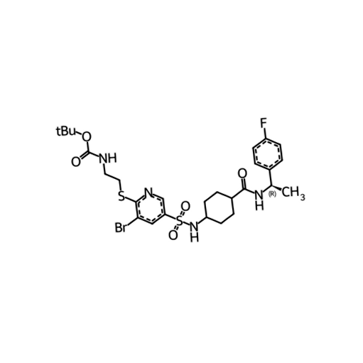 C[C@@H](NC(=O)C1CCC(NS(=O)(=O)c2cnc(SCCNC(=O)OC(C)(C)C)c(Br)c2)CC1)c1ccc(F)cc1